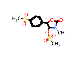 CN1C(=O)OC(c2ccc(S(C)(=O)=O)cc2)C1OS(C)(=O)=O